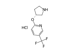 Cl.FC(F)(F)c1ccc(O[C@@H]2CCNC2)nc1